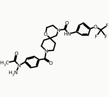 CC(=O)N(N)c1ccc(C(=O)N2CCC3(CC2)CN(C(=O)Nc2ccc(OC(F)(F)F)cc2)CCO3)cc1